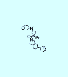 CC(C)[C@]1(C(=O)N2CCc3ccc(-c4cccnc4)cc3C2)CCC(N(C)C2CCOCC2)C1